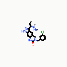 C=NN(C)/C(=C\C)c1n[nH]c2cc3c(cc12)CN(Cc1cccc(Cl)c1)C(=O)N3